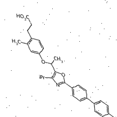 COc1ccc(-c2ccc(-c3nc(C(C)C)c(C(C)Oc4ccc(CCC(=O)O)c(C)c4)o3)cc2)cc1